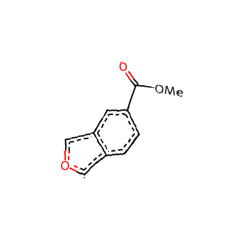 COC(=O)c1ccc2[c]occ2c1